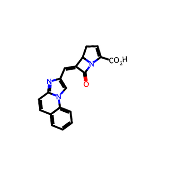 O=C(O)C1=CCC2C(=Cc3cn4c(ccc5ccccc54)n3)C(=O)N12